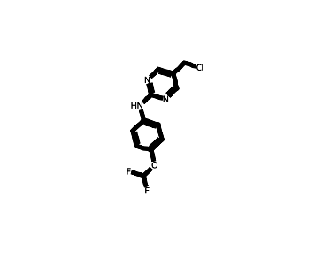 FC(F)Oc1ccc(Nc2ncc(CCl)cn2)cc1